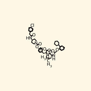 CC(C)C[C@H](NC(=O)COc1ccccc1C1CCCCC1)C(=O)N[C@@H](Cc1ccc(OC(=O)N2CCC(NC(=O)Cc3ccc(Cl)cc3)CC2)cc1)C(=O)O